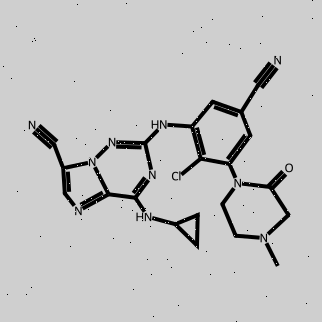 CN1CCN(c2cc(C#N)cc(Nc3nc(NC4CC4)c4ncc(C#N)n4n3)c2Cl)C(=O)C1